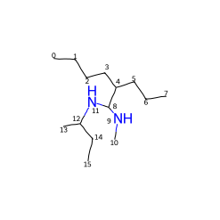 CCCCC(CCC)C(NC)NC(C)CC